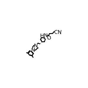 Cc1cc(C)cc(N2CCN(CC[C@H]3CC[C@H](NC(=O)CCCC#N)CC3)CC2)c1